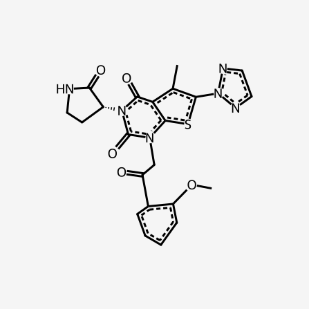 COc1ccccc1C(=O)Cn1c(=O)n([C@@H]2CCNC2=O)c(=O)c2c(C)c(-n3nccn3)sc21